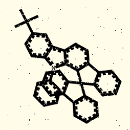 CC(C)(C)c1ccc2c(c1)c1ccc3c(c1n2-c1ccccc1)C1(c2ccccc2-c2ccccc21)c1ccccc1-3